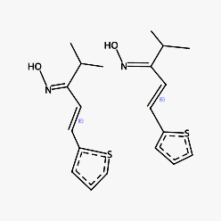 CC(C)C(/C=C/c1cccs1)=NO.CC(C)C(/C=C/c1cccs1)=NO